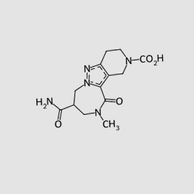 CN1CC(C(N)=O)Cn2nc3c(c2C1=O)CN(C(=O)O)CC3